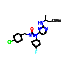 COCC(C)Nc1nccc(N(C(=O)NCc2ccc(Cl)cc2)c2ccc(F)cc2)n1